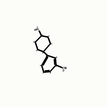 CCCC1CCC(c2cccc(C#N)c2)CC1